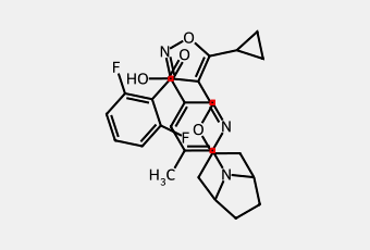 Cc1cc(C(=O)O)cnc1N1C2CCC1CC(OCc1c(-c3c(F)cccc3F)noc1C1CC1)C2